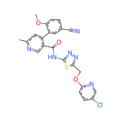 COc1ccc(C#N)cc1-c1cc(C)ncc1C(=O)Nc1nnc(COc2ccc(Cl)cn2)s1